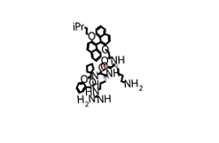 CC(C)CCOc1ccc2ccccc2c1-c1c(OCC(=O)N[C@H](CCCCN)C(=O)N[C@H](CCCNC(=N)N)C(=O)NC2(C(=O)OCc3ccccc3)CCCC2)ccc2ccccc12